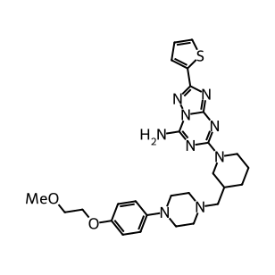 COCCOc1ccc(N2CCN(CC3CCCN(c4nc(N)n5nc(-c6cccs6)nc5n4)C3)CC2)cc1